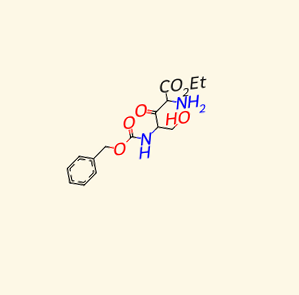 CCOC(=O)C(N)C(=O)C(CO)NC(=O)OCc1ccccc1